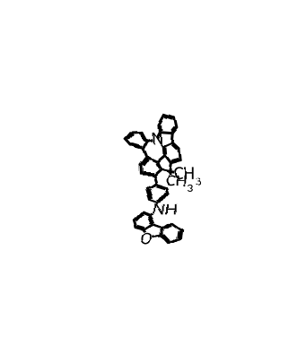 CC1(C)c2ccc3c4ccccc4n4c3c2-c2c(ccc(-c3ccc(Nc5cccc6oc7ccccc7c56)cc3)c21)-c1ccccc1-4